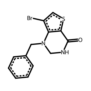 O=C1NCN(Cc2ccccc2)c2c(Br)csc21